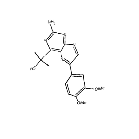 COc1ccc(-c2cnc3nc(N)nc(C(C)(C)S)c3n2)cc1OC